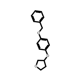 c1ccc(COc2ccc(OC3CCOC3)cc2)cc1